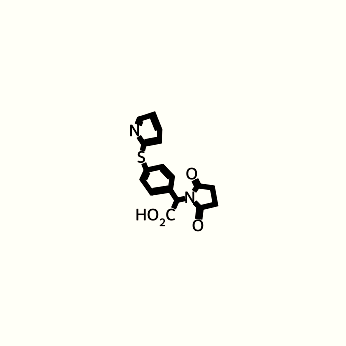 O=C(O)C(c1ccc(Sc2ccccn2)cc1)N1C(=O)CCC1=O